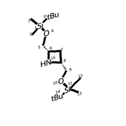 CC(C)(C)[Si](C)(C)OC[C@@H]1C[C@H](CO[Si](C)(C)C(C)(C)C)N1